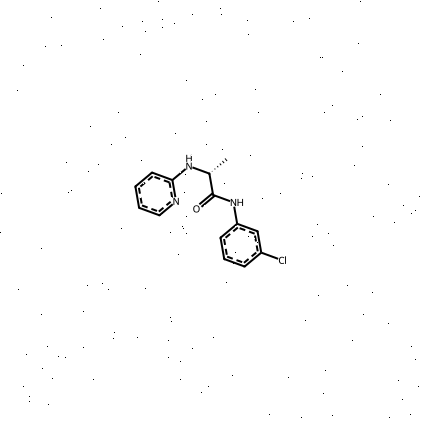 C[C@@H](Nc1ccccn1)C(=O)Nc1cccc(Cl)c1